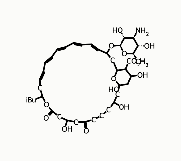 CCC(C)C1C/C=C/C=C/C=C/C=C/C=C/C(O[C@@H]2O[C@H](C)[C@@H](O)[C@H](N)[C@H]2O)CC2OC(O)(CC(O)CCCC(=O)CC(O)CC(=O)O1)CC(O)C2C(=O)O